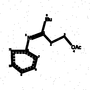 CCC(C)C(CCOC(C)=O)=Nc1ccccc1